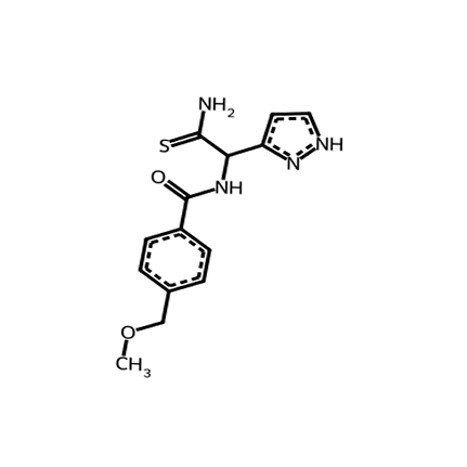 COCc1ccc(C(=O)NC(C(N)=S)c2cc[nH]n2)cc1